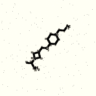 CC(=O)CCN1CCC(OCC2CN(C(C)N)C2)CC1